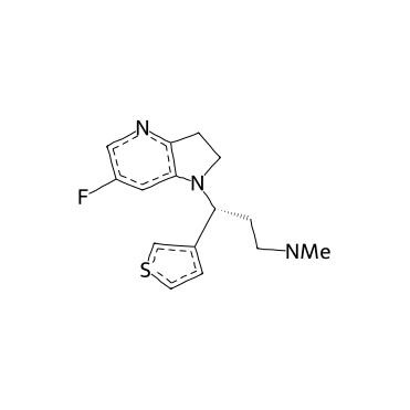 CNCC[C@H](c1ccsc1)N1CCc2ncc(F)cc21